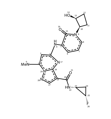 CNc1cc(Nc2cccn([C@@H]3CC[C@@H]3O)c2=O)nc2c(C(=O)N[C@@H]3C[C@@H]3F)cnn12